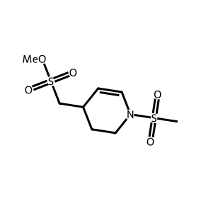 COS(=O)(=O)CC1C=CN(S(C)(=O)=O)CC1